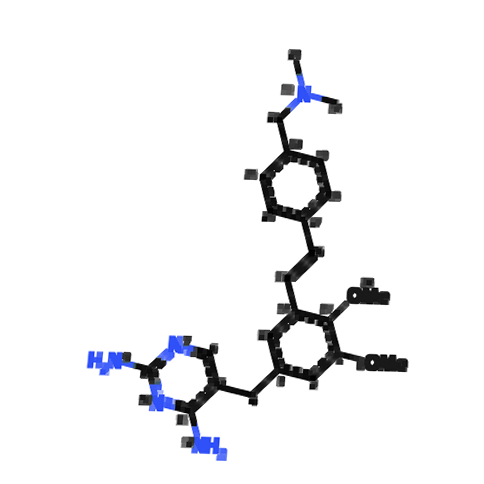 COc1cc(Cc2cnc(N)nc2N)cc(C=Cc2ccc(CN(C)C)cc2)c1OC